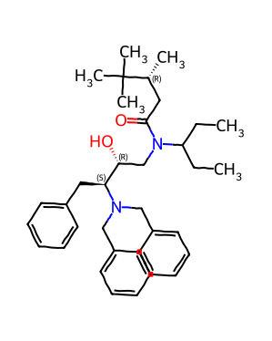 CCC(CC)N(C[C@@H](O)[C@H](Cc1ccccc1)N(Cc1ccccc1)Cc1ccccc1)C(=O)C[C@@H](C)C(C)(C)C